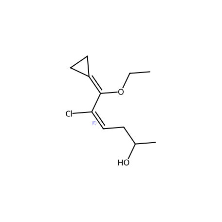 CCOC(=C1CC1)/C(Cl)=C\CC(C)O